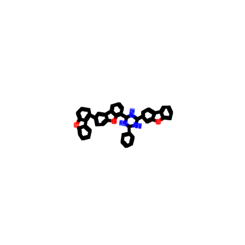 c1ccc(C2NC(c3ccc4c(c3)oc3ccccc34)NC(c3cccc4c3oc3ccc(-c5cccc6oc7ccccc7c56)cc34)N2)cc1